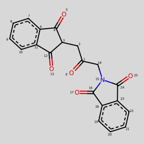 O=C(CC1C(=O)c2ccccc2C1=O)CN1C(=O)c2ccccc2C1=O